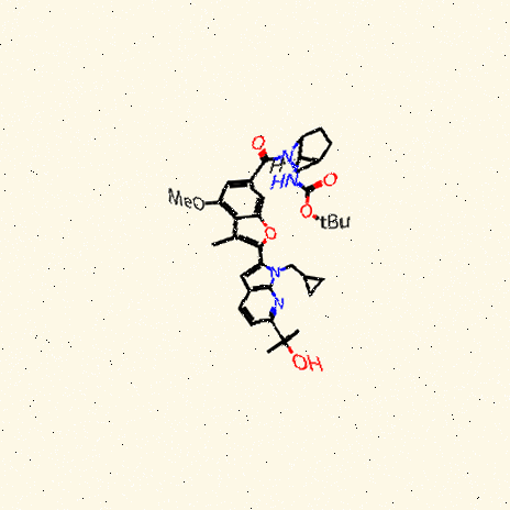 COc1cc(C(=O)N2CC3CCC2[C@@H]3NC(=O)OC(C)(C)C)cc2oc(-c3cc4ccc(C(C)(C)O)nc4n3CC3CC3)c(C)c12